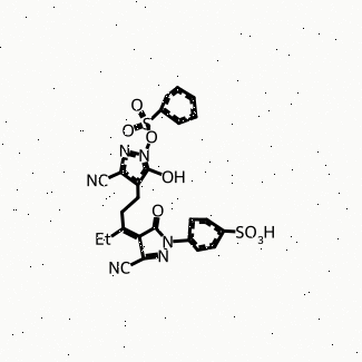 CCC(CCc1c(C#N)nn(OS(=O)(=O)c2ccccc2)c1O)=C1C(=O)N(c2ccc(S(=O)(=O)O)cc2)N=C1C#N